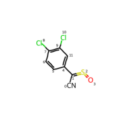 N#CC(=S=O)c1ccc(Cl)c(Cl)c1